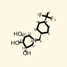 CC(F)(F)[C@H]1CC[C@@H](CN2C[C@@H](O)[C@H](O)[C@@H](O)C2)CC1